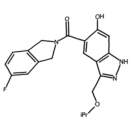 CC(C)OCc1n[nH]c2cc(O)c(C(=O)N3Cc4ccc(F)cc4C3)cc12